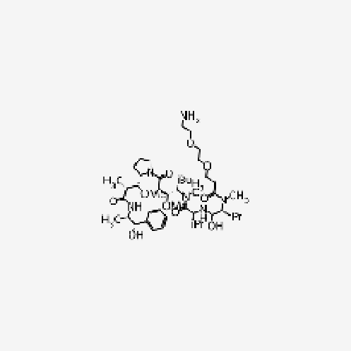 CC[C@H](C)[C@@H](C(CC(=O)N1CCC[C@H]1C(OC)[C@@H](C)C(=O)N[C@H](C)[C@@H](O)c1ccccc1)OC)N(C)C(=O)[C@@H](NC(O)[C@H](C(C)C)N(C)C(=O)CCOCCOCCN)C(C)C